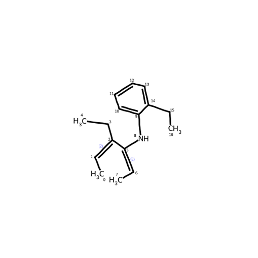 C/C=C(CC)\C(=C/C)Nc1ccccc1CC